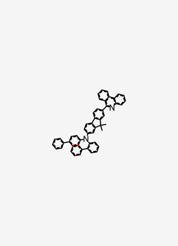 CC1(C)c2cc(-c3nc4ccccc4c4ccccc34)ccc2-c2ccc(N(c3ccc(-c4ccccc4)cc3)c3ccccc3-c3ccccc3)cc21